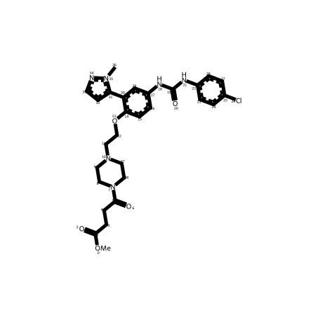 COC(=O)CCC(=O)N1CCN(CCOc2ccc(NC(=O)Nc3ccc(Cl)cc3)cc2-c2ccnn2C)CC1